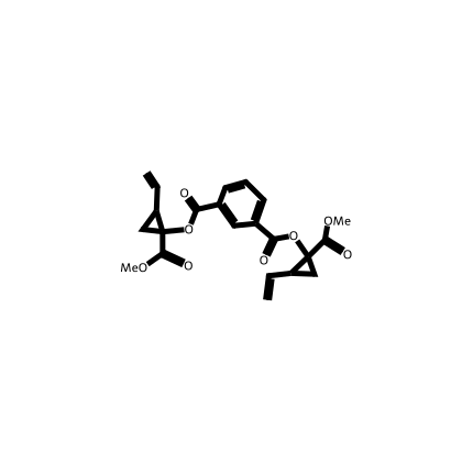 C=CC1CC1(OC(=O)c1cccc(C(=O)OC2(C(=O)OC)CC2C=C)c1)C(=O)OC